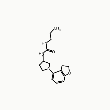 CCCNC(=O)N[C@@H]1CCN(c2cccc3c2CCO3)C1